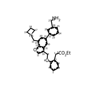 CCOC(=O)Cc1ccccc1OCc1coc2c(CN3CCC3)cc(-c3cccc(CN)c3)cc12